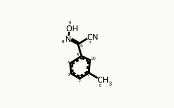 Cc1cccc(C(C#N)=NO)c1